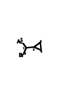 CC(=O)C(Br)C1CC1